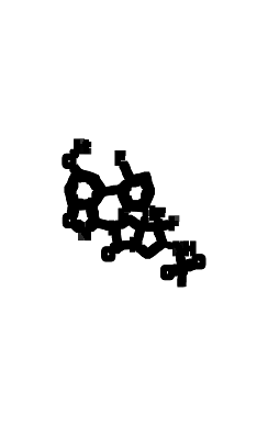 CCOc1cc(-c2c(F)cccc2F)c2c(N3C[C@H]4N(C[C@@H](NS(C)(=O)=O)C4(F)F)C3=O)noc2c1